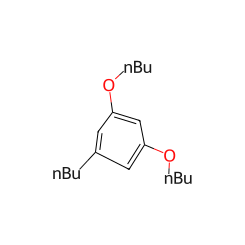 [CH2]CCCc1cc(OCCCC)cc(OCCCC)c1